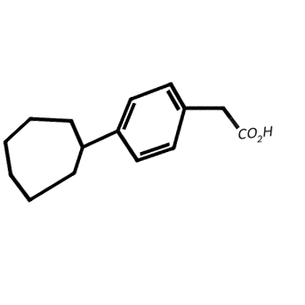 O=C(O)Cc1ccc(C2CCCCCC2)cc1